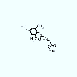 Cc1cc(CO)cc(C)c1OC(=O)CNCC(=O)OC(C)(C)C